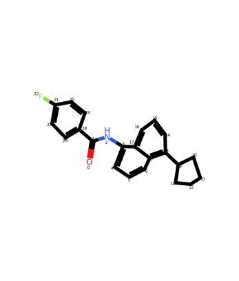 O=C(Nc1cccc2c(C3CCCC3)cccc12)c1ccc(F)cc1